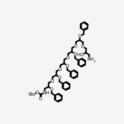 CC(C)(C)OC(=O)NCC(COCC(COCC(COCC(COCC(COCC(O)CN)OCc1ccccc1)OCc1ccccc1)OCc1ccccc1)OCc1ccccc1)OCc1ccccc1